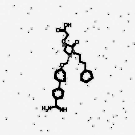 N=C(N)c1ccc(-c2ccc(OC[C@@H]3C[C@@H](OCC(=O)O)C(=O)N3CCCc3ccccc3)cc2)cc1